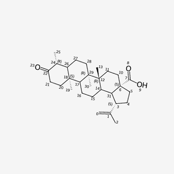 C=C(C)[C@H]1CC[C@]2(C(=O)O)CC[C@]3(C)C(CCC4[C@@]5(C)CCC(=O)[C@H](C)C5CC[C@]43C)C12